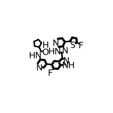 OC(Nc1cncc(-c2cc3c(-c4nc5c(-c6ccc(F)s6)ccnc5[nH]4)n[nH]c3cc2F)c1)C1CCCC1